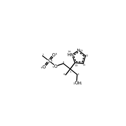 CC(CO)(COS(C)(=O)=O)c1ccn[nH]1